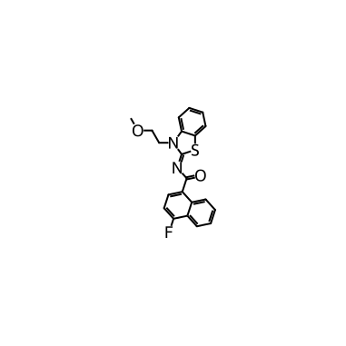 COCCn1c(=NC(=O)c2ccc(F)c3ccccc23)sc2ccccc21